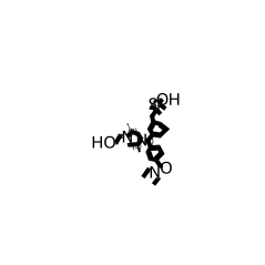 CCN(CC)C(=O)c1ccc([C@H](c2cccc(CC(C)(C)[Si](C)(C)O)c2)N2C[C@@H](C)N(CCO)C[C@@H]2C)cc1